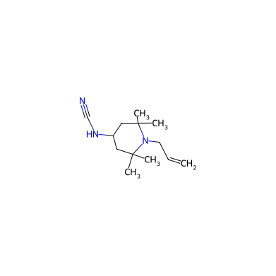 C=CCN1C(C)(C)CC(NC#N)CC1(C)C